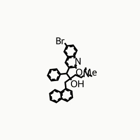 COc1nc2ccc(Br)cc2cc1C(c1ccccc1)C(O)(CCN(C)C)Cc1cccc2ccccc12